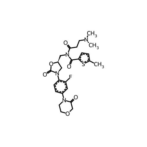 Cc1ccc(C(=O)N(C[C@H]2CN(c3ccc(N4CCOCC4=O)cc3F)C(=O)O2)C(=O)CCN(C)C)s1